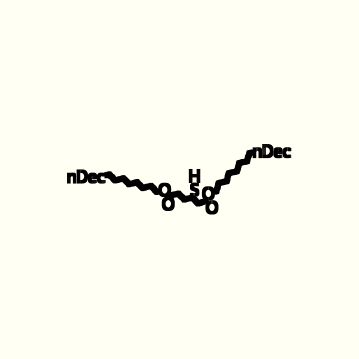 CCCCCCCCCCCCCCCCCCOC(=O)CCC(S)CC(=O)OCCCCCCCCCCCCCCCCCC